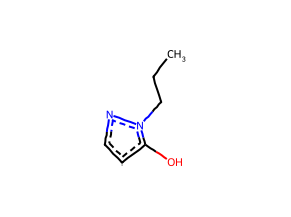 CCCn1nc[c]c1O